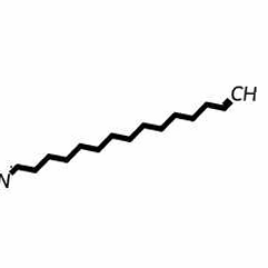 C=CCCCCCCCCCCCC[CH]NC